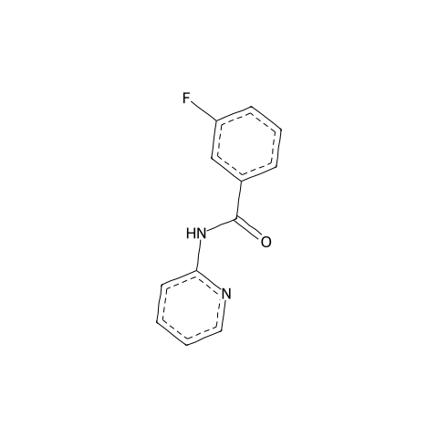 O=C(Nc1ccccn1)c1cccc(F)c1